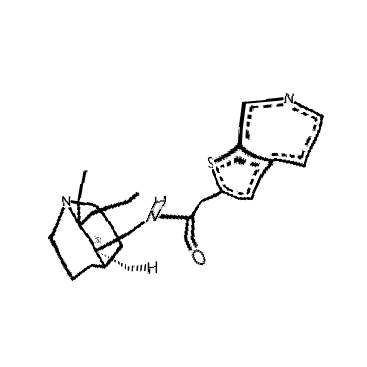 CC1(C)[C@@H](NC(=O)c2cc3ccncc3s2)C2CCN1CC2